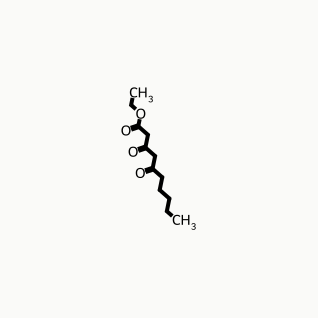 CCCCCC(=O)CC(=O)CC(=O)OCC